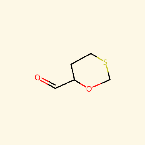 O=CC1CCSCO1